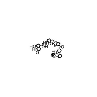 O=C(c1ccc(CN(Cc2ccc(CNCC(O)c3ccc(O)c4[nH]c(=O)ccc34)cc2)C(=O)C2CC2)cc1)N1CCC(C(=O)O[C@H]2CN3CCC2CC3)(c2ccccc2)CC1